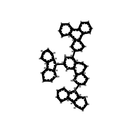 c1ccc2c(c1)c1ccccc1c1cc(-c3nc(-n4c5ccccc5c5cccnc54)nc4c3ccc3ccc(-n5c6ccccc6c6cccnc65)nc34)ccc21